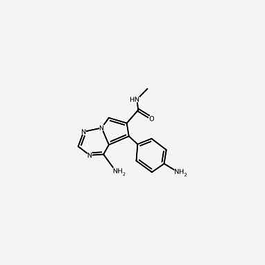 CNC(=O)c1cn2ncnc(N)c2c1-c1ccc(N)cc1